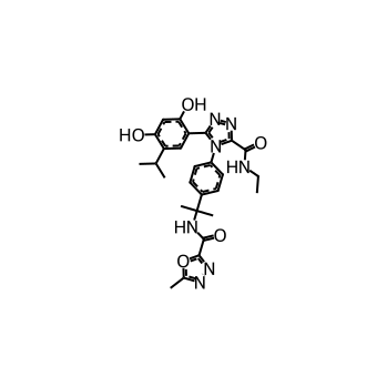 CCNC(=O)c1nnc(-c2cc(C(C)C)c(O)cc2O)n1-c1ccc(C(C)(C)NC(=O)c2nnc(C)o2)cc1